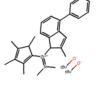 CC(C)(C)[O-].CC(C)(C)[O-].CC1=Cc2c(-c3ccccc3)cccc2[CH]1[Zr+2]([C]1=C(C)C(C)=C(C)C1C)=[Si](C)C